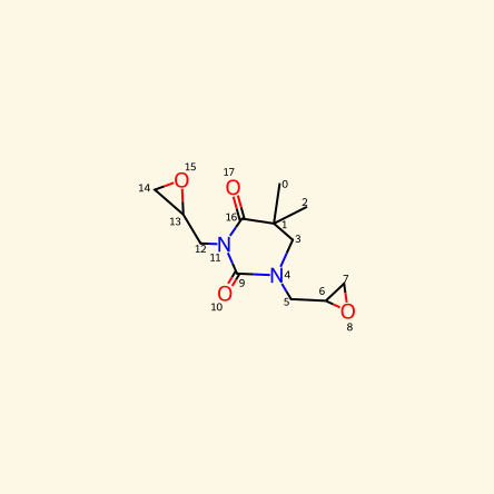 CC1(C)CN(CC2CO2)C(=O)N(CC2CO2)C1=O